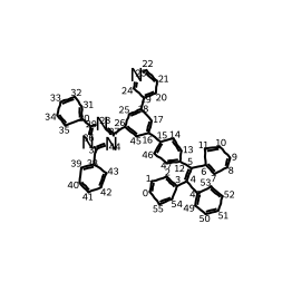 c1ccc(C(=C(c2ccccc2)c2ccc(-c3cc(-c4cccnc4)cc(-c4nc(-c5ccccc5)nc(-c5ccccc5)n4)c3)cc2)c2ccccc2)cc1